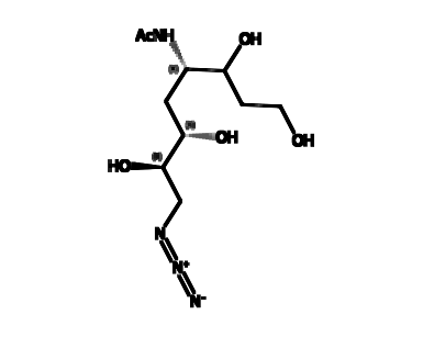 CC(=O)N[C@@H](C[C@H](O)[C@H](O)CN=[N+]=[N-])C(O)CCO